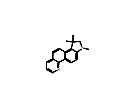 CN1CC(C)(C)c2c1ccc1c2ccc2cccnc21